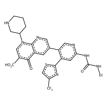 CCNC(=O)Nc1cc(-c2nc(C(F)(F)F)cs2)c(-c2cnc3c(c2)c(=O)c(C(=O)O)cn3C2CCCNC2)cn1